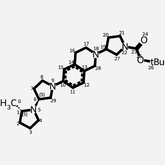 C[C@H]1CCCN1[C@H]1CCN(c2ccc3c(c2)CCN(C2CCN(C(=O)OC(C)(C)C)C2)C3)C1